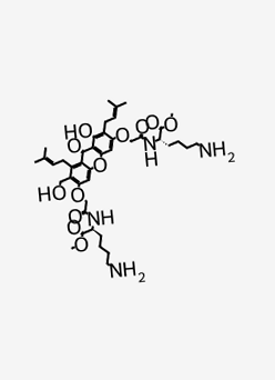 COC(=O)[C@H](CCCCN)NC(=O)COc1cc2oc3cc(OCC(=O)N[C@@H](CCCCN)C(=O)OC)c(CO)c(CC=C(C)C)c3c(=O)c2c(O)c1CC=C(C)C